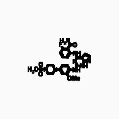 COc1cc(N2CCN(S(C)(=O)=O)CC2)ccc1Nc1nc(Nc2cccc(F)c2C(N)=O)c2ccnc-2[nH]1